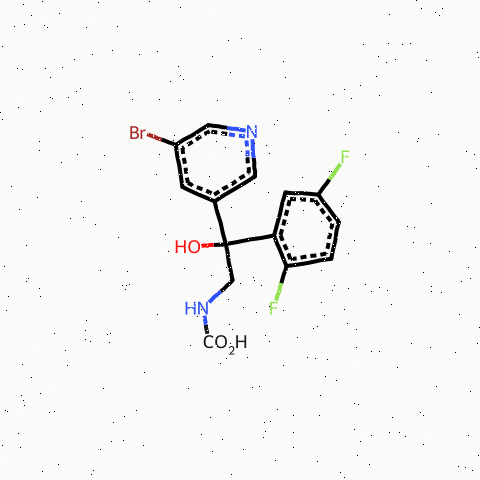 O=C(O)NCC(O)(c1cncc(Br)c1)c1cc(F)ccc1F